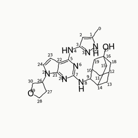 Cc1cc(Nc2nc(NC3C4CC5CC3CC(O)(C5)C4)nc3c2ccn3C2CCOC2)n[nH]1